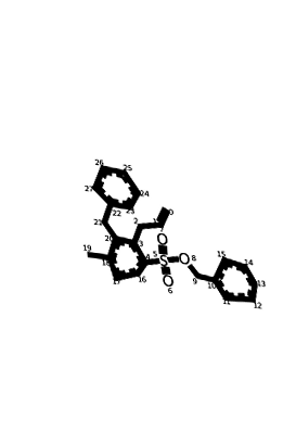 C=CCc1c(S(=O)(=O)OCc2ccccc2)ccc(C)c1Cc1ccccc1